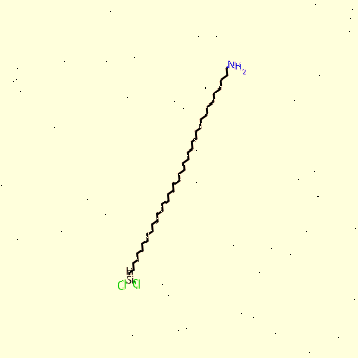 NCCCCCCCCCCCCCCCCCCCCCCCCCCCCCCCCCCCCCCC[SiH](Cl)Cl